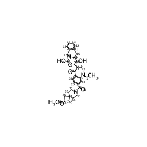 CCN1CCN(C[C@@H](O)[C@@H]2Cc3ccccc3CN2C(=O)O)C(=O)c2ccc(C(=O)N3CCC4(CC3)CC(OC)C4)cc21